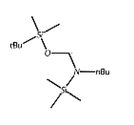 CCCCN([CH]O[Si](C)(C)C(C)(C)C)[Si](C)(C)C